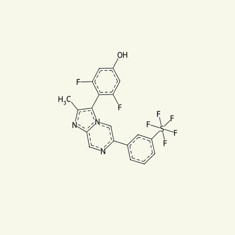 Cc1nc2cnc(-c3cccc(S(F)(F)(F)(F)F)c3)cn2c1-c1c(F)cc(O)cc1F